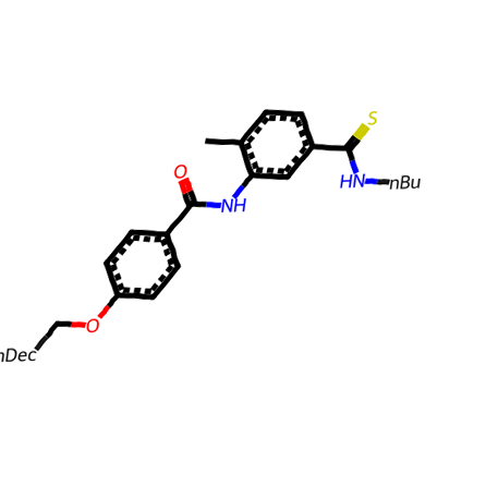 CCCCCCCCCCCOc1ccc(C(=O)Nc2cc(C(=S)NCCCC)ccc2C)cc1